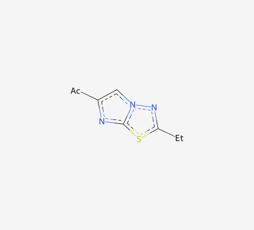 CCc1nn2cc(C(C)=O)nc2s1